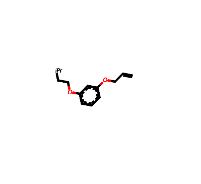 C=CCOc1cccc(OCCC(C)C)c1